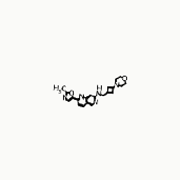 Cc1ncc(-c2ccc3cnc(NCC4CC(N5CCOCC5)C4)cc3n2)o1